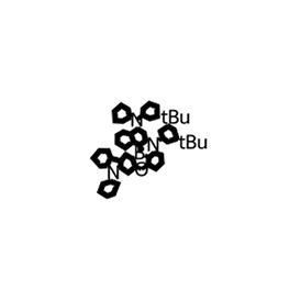 CC(C)(C)c1cc(N2c3cccc4c3B(c3cc5c6ccccc6n(-c6ccccc6)c5cc3O4)c3c2cc(N(c2ccccc2)c2ccccc2)c2ccccc32)cc(C(C)(C)C)c1